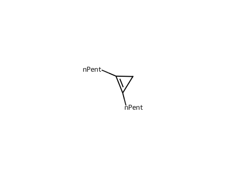 CCCCCC1=C(CCCCC)C1